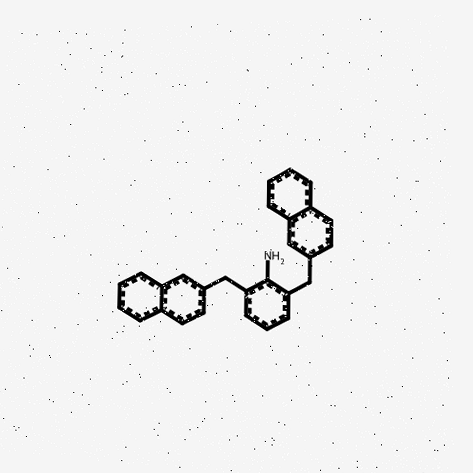 Nc1c(Cc2ccc3ccccc3c2)cccc1Cc1ccc2ccccc2c1